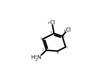 NC1=CC(Cl)=C(Cl)C[CH]1